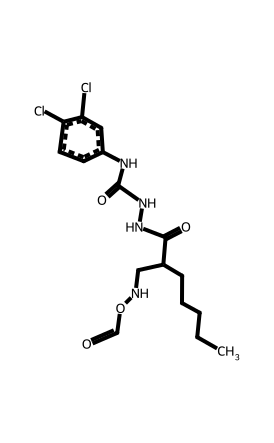 CCCCCC(CNOC=O)C(=O)NNC(=O)Nc1ccc(Cl)c(Cl)c1